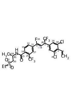 C=Cc1c(Cl)cc([C@@H](/C=C(\F)c2ccc(C(=O)N[C@H](C)CS(=O)(=O)CC)c(C(F)(F)F)c2)C(F)(F)F)cc1Cl